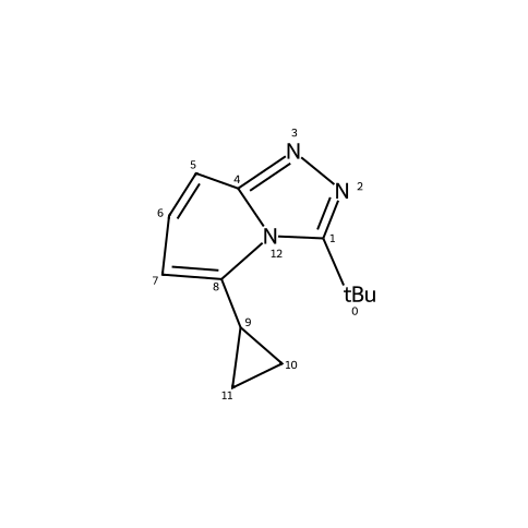 CC(C)(C)c1nnc2cccc(C3CC3)n12